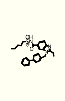 CCCCCS(=O)(=O)NC(=O)c1ccc2nc(CC)n(Cc3ccc(-c4ccccc4)cc3)c2c1